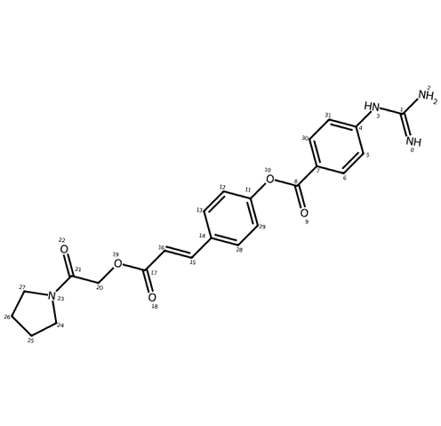 N=C(N)Nc1ccc(C(=O)Oc2ccc(/C=C/C(=O)OCC(=O)N3CCCC3)cc2)cc1